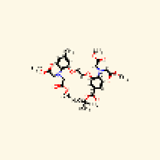 COC(=O)CN(CC(=O)OC)c1ccc(C)cc1OCCOc1cc(C(=O)OC(C)(C)C)ccc1N(CC(=O)OC)CC(=O)OC